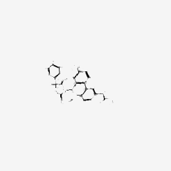 COC(=O)Cc1ccc(OC)c(-c2ccc(C)cc2CN2C(=O)NC(C)(c3ccccc3)C2=O)c1